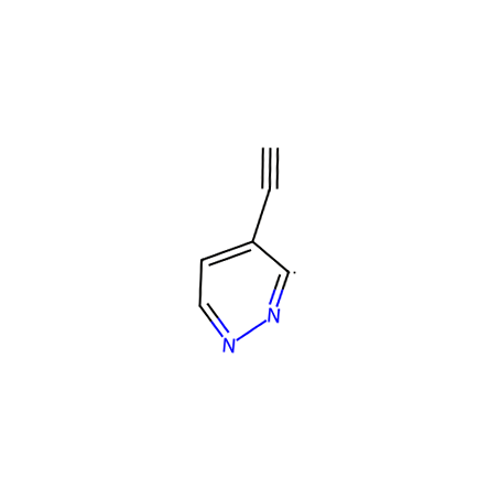 C#Cc1[c]nncc1